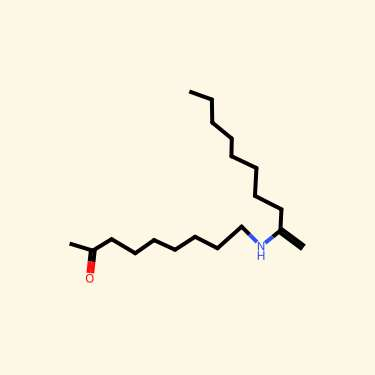 C=C(CCCCCCCC)NCCCCCCCC(C)=O